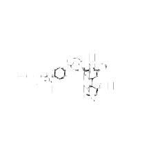 Cc1cncnc1-c1cc(=O)[nH]c(N2CCO[C@@H](c3ccc(NC(=O)O)cc3)C2)n1